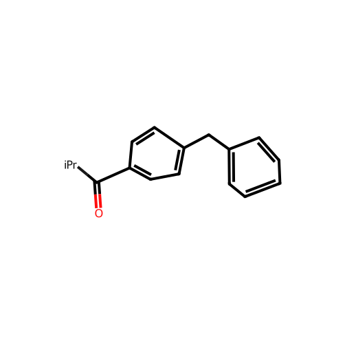 CC(C)C(=O)c1ccc(Cc2ccccc2)cc1